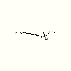 CCCCCCCCCCCCCCCCOOP(=O)(O)OCCCCCC